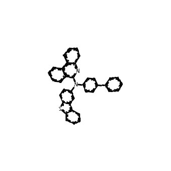 c1ccc(-c2ccc(N(c3ccc4sc5ccccc5c4c3)c3nc4ccccc4c4ccccc34)cc2)cc1